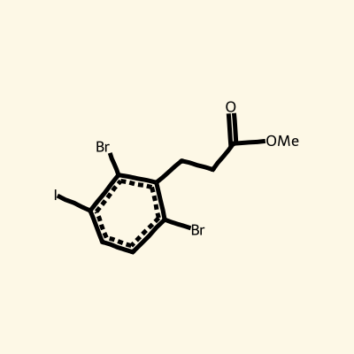 COC(=O)CCc1c(Br)ccc(I)c1Br